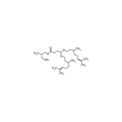 [CH2]C(CO)COC(=O)CCC(OCCC(C)CCC=C(C)C)OCCC(C)CCC=C(C)C